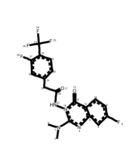 CN(C)c1nc2cc(F)ccc2c(=O)n1NC(=O)Cc1ccc(C(F)(F)F)c(F)c1